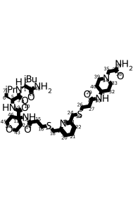 CC[C@H](C)[C@H](NC(=O)[C@H](CC(C)C)NC(=O)C1(NC(=O)CCSCc2cccc(CSCCC(=O)NC3CCN(CC(N)=O)CC3)n2)CCOCC1)C(N)=O